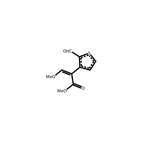 COC=C(C(=O)OC)c1ccsc1C=O